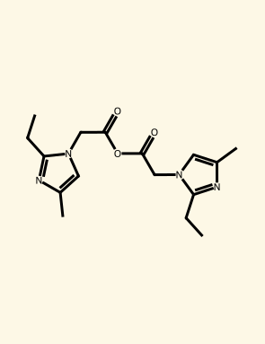 CCc1nc(C)cn1CC(=O)OC(=O)Cn1cc(C)nc1CC